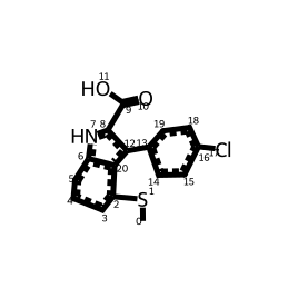 CSc1cccc2[nH]c(C(=O)O)c(-c3ccc(Cl)cc3)c12